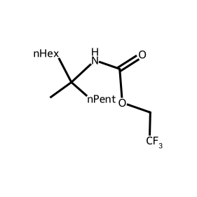 CCCCCCC(C)(CCCCC)NC(=O)OCC(F)(F)F